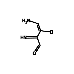 N=C(C=O)/C(Cl)=C\N